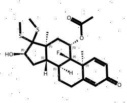 CSC1(SC)[C@H](O)C[C@H]2[C@@H]3CCC4=CC(=O)C=C[C@]4(C)[C@@]3(F)[C@@H](OC(C)=O)C[C@@]21C